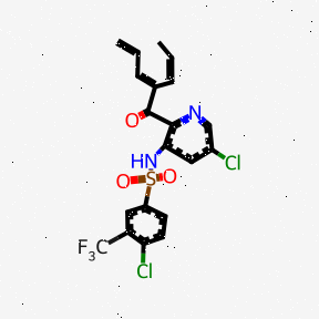 C=C/C=C(\C=C/C)C(=O)c1ncc(Cl)cc1NS(=O)(=O)c1ccc(Cl)c(C(F)(F)F)c1